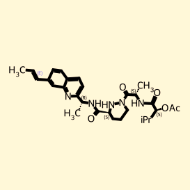 C/C=C/c1ccc2ccc([C@@H](C)NC(=O)[C@@H]3CCCN(C(=O)[C@H](C)NC(=O)[C@@H](OC(C)=O)C(C)C)N3)nc2c1